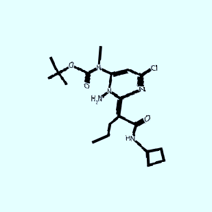 CCC/C(C(=O)NC1CCC1)=C1/N=C(Cl)C=C(N(C)C(=O)OC(C)(C)C)N1N